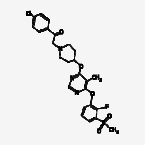 Cc1c(Oc2cccc(S(C)(=O)=O)c2F)ncnc1OC1CCN(CC(=O)c2ccc(Cl)cc2)CC1